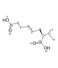 CC(C)[C@H](C/C=C/CCC(=O)O)C(=O)O